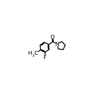 Cc1ccc(C(=O)N2CCCC2)cc1F